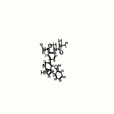 CCNC(=O)Nc1ccc(-c2cnc3[nH]cc(-c4ccccc4OC)c3c2)cc1C(=O)N(C)C